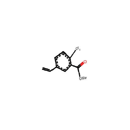 C=Cc1ccc(C(F)(F)F)c(C(=O)OC)c1